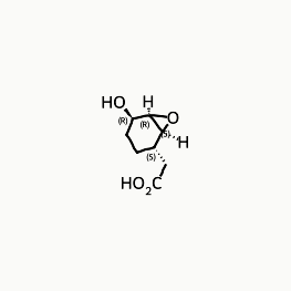 O=C(O)C[C@@H]1CC[C@@H](O)[C@H]2O[C@@H]12